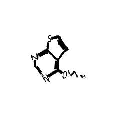 COc1ncnc2sccc12